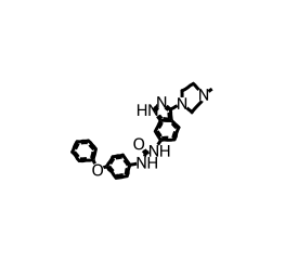 CN1CCN(c2n[nH]c3cc(NC(=O)Nc4ccc(Oc5ccccc5)cc4)ccc23)CC1